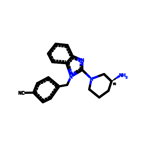 N#Cc1ccc(Cn2c(N3CCC[C@@H](N)C3)nc3ccccc32)cc1